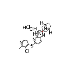 Cc1nccc(Sc2ccc3nc(N4[C@@H]5CC[C@H]4CC(N)C5)cnc3n2)c1Cl.Cl.Cl